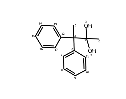 CC(O)(O)C(C)(c1ccccc1)c1ccccc1